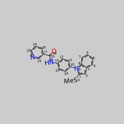 CSc1cc2ccccc2n1-c1ccc(NC(=O)c2cccnc2)cc1